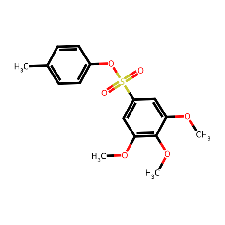 COc1cc(S(=O)(=O)Oc2ccc(C)cc2)cc(OC)c1OC